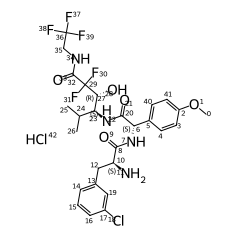 COc1ccc([C@H](NC(=O)[C@@H](N)Cc2cccc(Cl)c2)C(=O)N[C@@H](C(C)C)[C@@H](O)C(F)(F)C(=O)NCC(F)(F)F)cc1.Cl